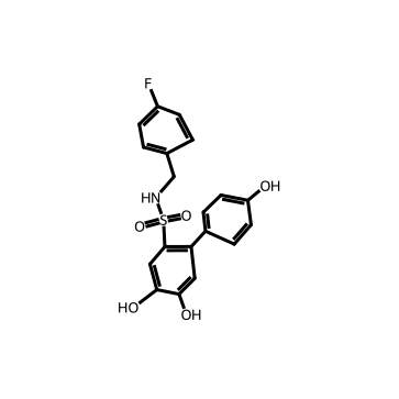 O=S(=O)(NCc1ccc(F)cc1)c1cc(O)c(O)cc1-c1ccc(O)cc1